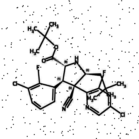 CC(C)(C)C[C@@H]1N[C@@H](C(=O)OC(C)(C)C)[C@H](c2cccc(Cl)c2F)[C@@]1(C#N)c1ncc(Cl)cc1F